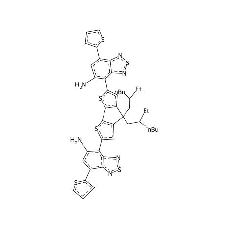 CCCCC(CC)CC1(CC(CC)CCCC)c2cc(-c3c(N)cc(-c4cccs4)c4nsnc34)sc2-c2sc(-c3c(N)cc(-c4cccs4)c4nsnc34)cc21